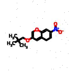 CC(C)(C)COC1=COC2=CC([N+](=O)[O-])=CCC2=C1